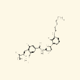 CCCCCOc1cccc(-c2csc(NC(=O)c3cc(F)c(C=C(C)C(=O)O)c(F)c3)n2)c1F